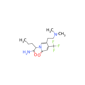 CCCC(C(N)=O)n1cc(CCN(C)C)c(C(F)(F)F)cc1=O